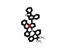 CC1(C)c2ccccc2-c2c(N(c3ccc(-c4cc5oc6ccccc6c5c5ccccc45)cc3)c3ccccc3-c3ccc4ccccc4c3)cccc21